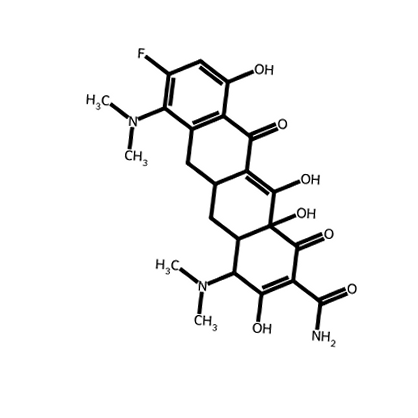 CN(C)c1c(F)cc(O)c2c1CC1CC3C(N(C)C)C(O)=C(C(N)=O)C(=O)C3(O)C(O)=C1C2=O